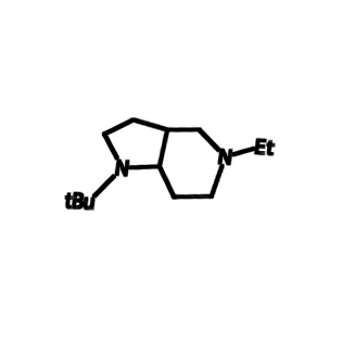 CCN1CCC2C(CCN2C(C)(C)C)C1